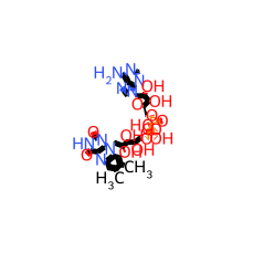 Cc1cc2nc3c(=O)[nH]c(=O)nc-3n(C[C@H](O)[C@H](O)[C@H](O)COP(=O)(O)OP(=O)(O)OC[C@H]3O[C@@H](n4cnc5c(N)ncnc54)C(O)C3O)c2cc1C